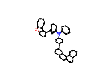 c1ccc(N(c2ccc(-c3ccc4ccc5ccc6ccccc6c5c4c3)cc2)c2cccc(-c3cccc4oc5ccccc5c34)c2)cc1